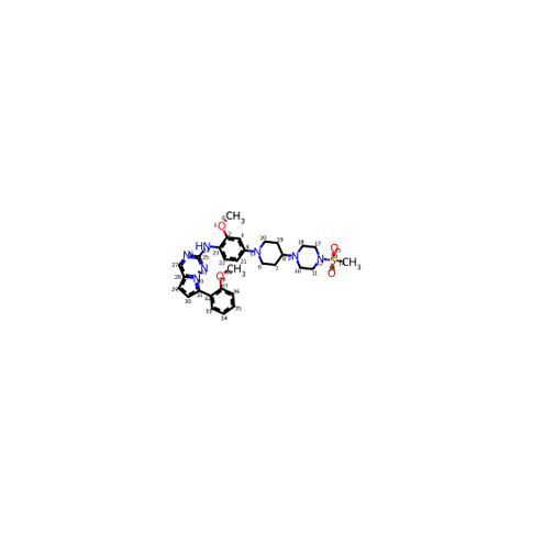 COc1cc(N2CCC(N3CCN(S(C)(=O)=O)CC3)CC2)ccc1Nc1ncc2ccc(-c3ccccc3OC)n2n1